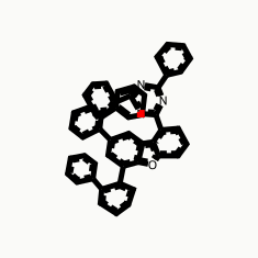 C1=CC(c2ccccc2-c2cc(-c3ccccc3-c3ccccc3)c3oc4cccc(-c5nc(-c6ccccc6)nc(-c6ccccc6)n5)c4c3c2)=CCC1